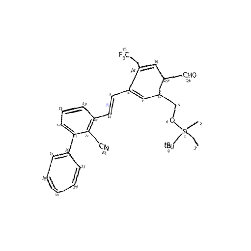 CC(C)(C)[Si](C)(C)OCC1C=C(/C=C/c2cccc(-c3ccccc3)c2C#N)C(C(F)(F)F)=CC1C=O